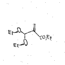 C=C(C(=O)OCC)C(OCC)OCC